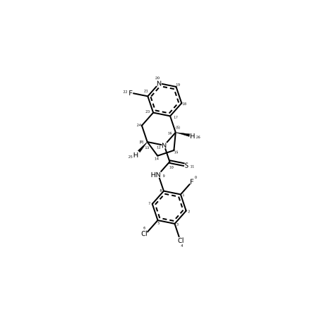 Fc1cc(Cl)c(Cl)cc1NC(=S)N1[C@@H]2CC[C@H]1c1ccnc(F)c1C2